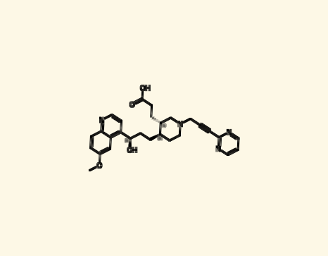 COc1ccc2nccc([C@H](O)CC[C@@H]3CCN(CC#Cc4ncccn4)C[C@H]3CCC(=O)O)c2c1